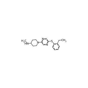 CCc1ccccc1Sc1cnc(N2CCC(NC)CC2)cn1